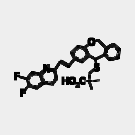 CC(C)(CSC1c2ccccc2COc2ccc(C=Cc3ccc4cc(F)c(F)cc4n3)cc21)C(=O)O